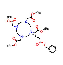 CC(C)(C)OC(=O)CN1CCN(CC(=O)OC(C)(C)C)CCN([C@H](CCC(=O)OCc2ccccc2)C(=O)OC(C)(C)C)CCN(CC(=O)OC(C)(C)C)CC1